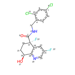 O=C(NCc1ccc(Cl)cc1Cl)[C@]1(F)CC[C@H](O)c2ncc(F)cc21